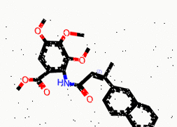 COC(=O)c1cc(OC)c(OC)c(OC)c1NC(=O)/C=C(/C)c1ccc2ccccc2c1